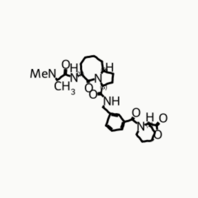 CNC(C)C(=O)N[C@H]1CCCC[C@H]2CC[C@@H](C(=O)NCc3cccc(C(=O)N4CCC5C[C@H]4C(=O)O5)c3)N2C1=O